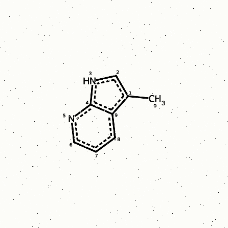 Cc1c[nH]c2ncc[c]c12